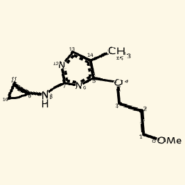 COCCCOc1nc(NC2CC2)ncc1C